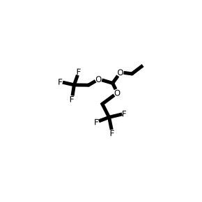 CCOC(OCC(F)(F)F)OCC(F)(F)F